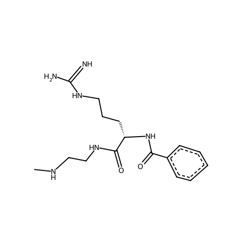 CNCCNC(=O)[C@H](CCCNC(=N)N)NC(=O)c1ccccc1